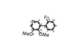 COc1cncc(-c2ccccc2F)c1OC